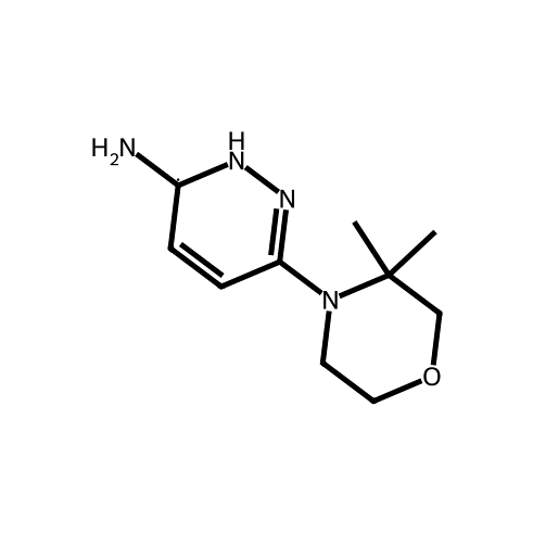 CC1(C)COCCN1C1=NN[C](N)C=C1